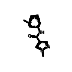 Cc1cccc(NC(=O)c2cnn(C)c2)c1